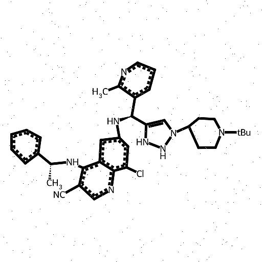 Cc1ncccc1[C@H](Nc1cc(Cl)c2ncc(C#N)c(N[C@H](C)c3ccccc3)c2c1)C1=CN(C2CCN(C(C)(C)C)CC2)NN1